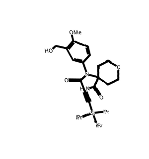 COc1ccc(N(C(=O)C#C[Si](C(C)C)(C(C)C)C(C)C)C2(C(N)=O)CCOCC2)cc1CO